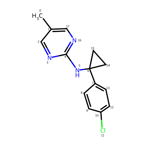 Cc1cnc(NC2(c3ccc(Cl)cc3)CC2)nc1